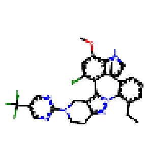 CCc1cccc(CC)c1-n1nc2c(c1-c1c(F)cc(OC)c3[nH]ccc13)CN(c1ncc(C(F)(F)F)cn1)CC2